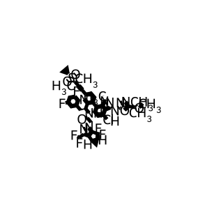 COC(C)(C)c1nnc(Nc2nn(C)c3c(-c4ccc(C#CC(C)(C)S(=O)(=O)C5CC5)nc4[C@H](Cc4cc(F)cc(F)c4)NC(=O)Cn4nc(C(F)F)c5c4C(F)(F)[C@@H]4C[C@H]54)ccc(Cl)c23)o1